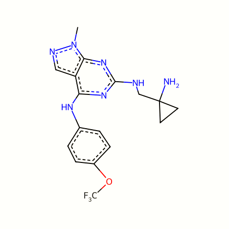 Cn1ncc2c(Nc3ccc(OC(F)(F)F)cc3)nc(NCC3(N)CC3)nc21